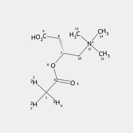 [2H]C([2H])([2H])C(=O)O[C@H](CC(=O)O)C[N+](C)(C)C